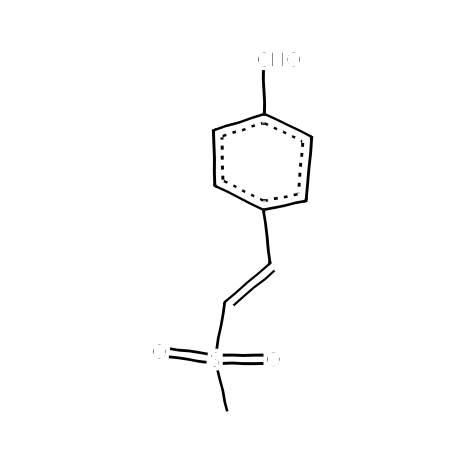 CS(=O)(=O)/C=C/c1ccc(C=O)cc1